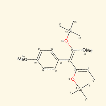 CC=C(O[Si](C)(C)C)C(=C(OC)O[Si](C)(C)C)c1ccc(OC)cc1